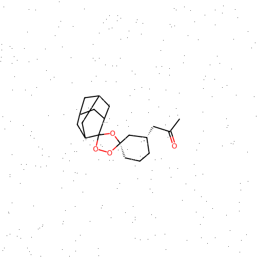 CC(=O)C[C@@H]1CCC[C@]2(C1)OOC1(O2)C2CC3CC(C2)CC1C3